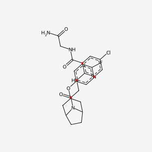 NC(=O)CNC(=O)c1cc(Cl)cnc1NCC(=O)N1C2CCC1CC(Oc1ccc(F)cc1)C2